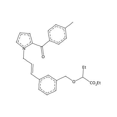 CCOC(=O)C(CC)OCc1cccc(C=CCn2cccc2C(=O)c2ccc(C)cc2)c1